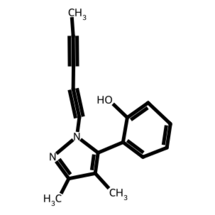 CC#CC#Cn1nc(C)c(C)c1-c1ccccc1O